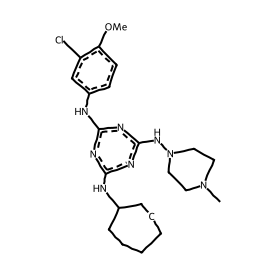 COc1ccc(Nc2nc(NC3CCCCCC3)nc(NN3CCN(C)CC3)n2)cc1Cl